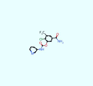 NC(=O)c1cc(OC(=O)Nc2cccnc2)c(Cl)c(C(F)(F)F)c1